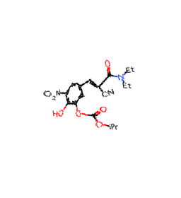 CCN(CC)C(=O)/C(C#N)=C/c1cc(OC(=O)OC(C)C)c(O)c([N+](=O)[O-])c1